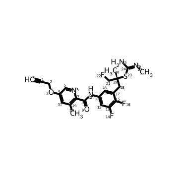 C#CCOc1cnc(C(=O)Nc2cc(F)c(F)c(C[C@](C)(CF)S/C(N)=N\C)c2)c(C)c1